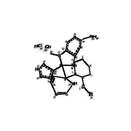 CCOC1CCCCN1C1(C2(c3cn[nH]c3)Nc3cc(N)ncc3N2C)C=CN=CN1.Cl.Cl